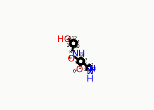 COc1cc(C(=O)NCc2cccc(O)c2)ccc1-c1cn[nH]c1